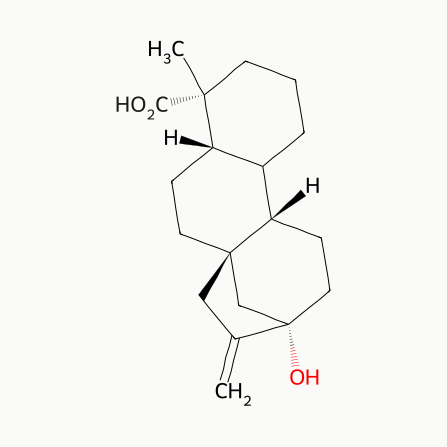 C=C1C[C@@]23CC[C@H]4C(CCC[C@@]4(C)C(=O)O)[C@@H]2CC[C@]1(O)C3